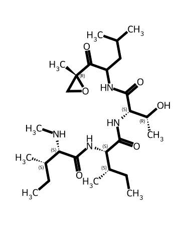 CC[C@H](C)[C@H](NC)C(=O)N[C@H](C(=O)N[C@H](C(=O)NC(CC(C)C)C(=O)[C@@]1(C)CO1)[C@@H](C)O)[C@@H](C)CC